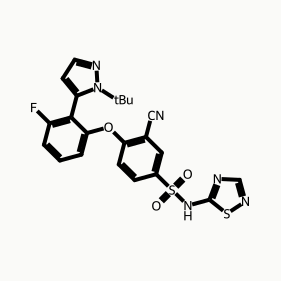 CC(C)(C)n1nccc1-c1c(F)cccc1Oc1ccc(S(=O)(=O)Nc2ncns2)cc1C#N